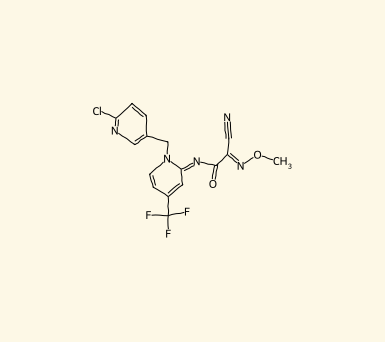 CO/N=C(\C#N)C(=O)/N=c1\cc(C(F)(F)F)ccn1Cc1ccc(Cl)nc1